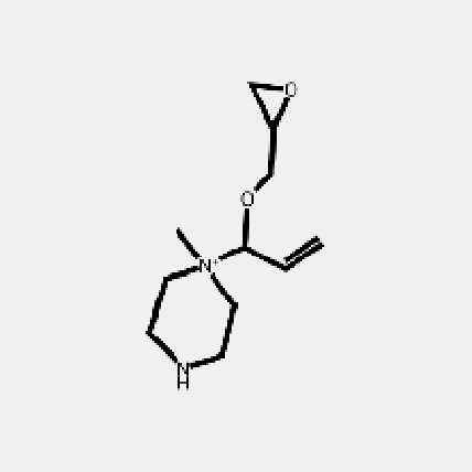 C=CC(OCC1CO1)[N+]1(C)CCNCC1